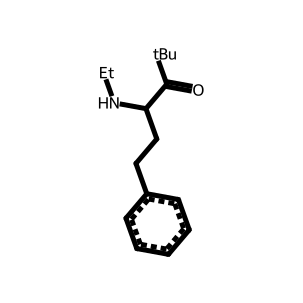 CCNC(CCc1ccccc1)C(=O)C(C)(C)C